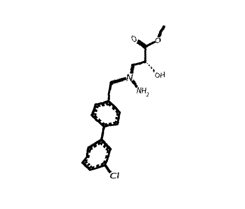 COC(=O)[C@H](O)CN(N)Cc1ccc(-c2cccc(Cl)c2)cc1